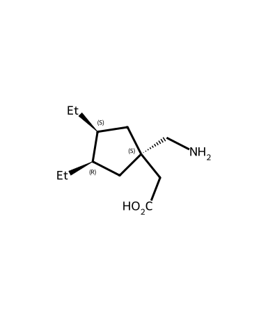 CC[C@@H]1C[C@](CN)(CC(=O)O)C[C@@H]1CC